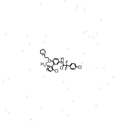 Cn1ncc(Cl)c1-c1cc(NC(=O)C(F)(F)c2ccc(Cl)cc2)ccc1OCCN1CCCC1